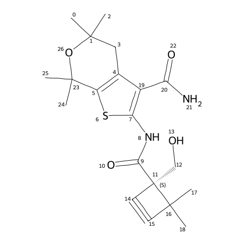 CC1(C)Cc2c(sc(NC(=O)[C@]3(CO)C#CC3(C)C)c2C(N)=O)C(C)(C)O1